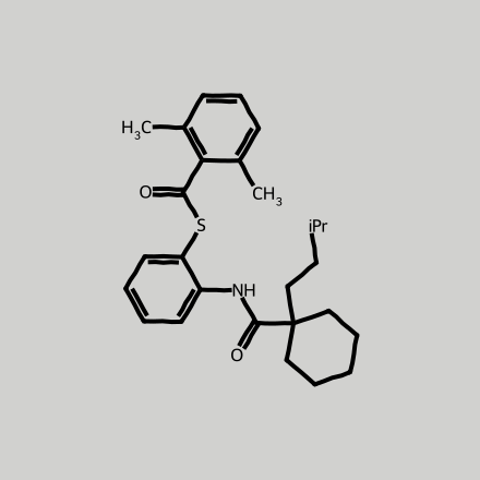 Cc1cccc(C)c1C(=O)Sc1ccccc1NC(=O)C1(CCC(C)C)CCCCC1